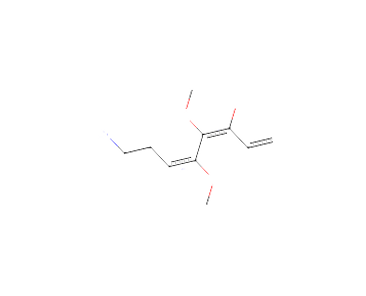 C=C/C(O)=C(OC)\C(=C/CCN)OC